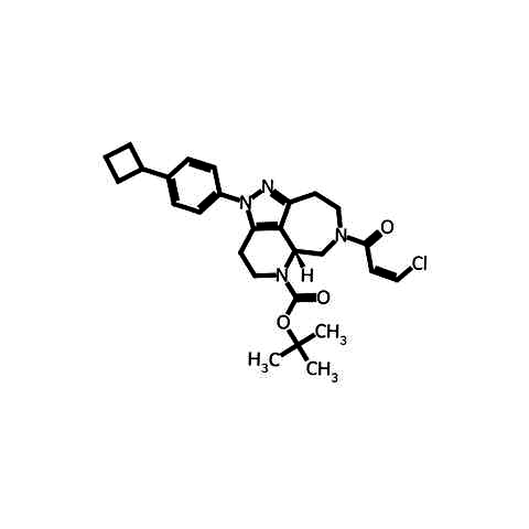 CC(C)(C)OC(=O)N1CCc2c3c(nn2-c2ccc(C4CCC4)cc2)CCN(C(=O)/C=C\Cl)C[C@@H]31